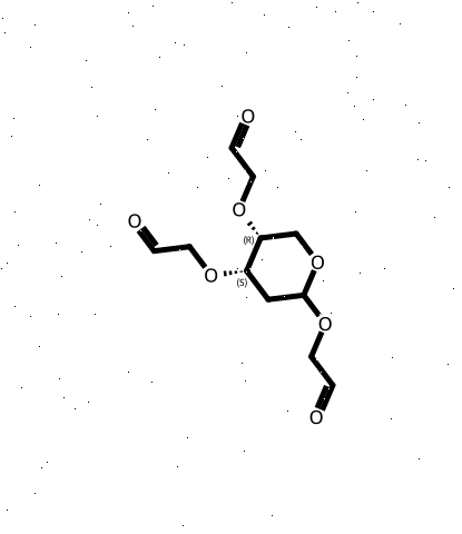 O=CCOC1C[C@H](OCC=O)[C@H](OCC=O)CO1